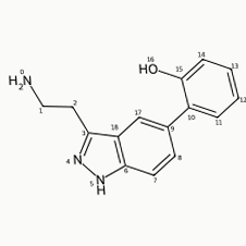 NCCc1n[nH]c2ccc(-c3ccccc3O)cc12